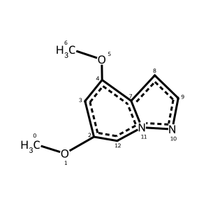 COc1cc(OC)c2ccnn2c1